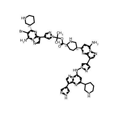 CC(C)(OC(=O)[C@@H]1CC[C@H](c2cc(N)n3ncc(-c4cnn(Nc5cc(C6CCCNC6)nc6c(-c7cn[nH]c7)cnn56)c4)c3n2)CN1)n1cc(-c2cnn3c(N)c(Br)c([C@H]4CCCNC4)nc23)cn1